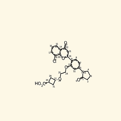 O=C1CCCN1c1ccc(-c2cc(=O)c3cccc(Cl)c3o2)c(OCCO[C@H]2C[C@H](C(=O)O)C2)c1